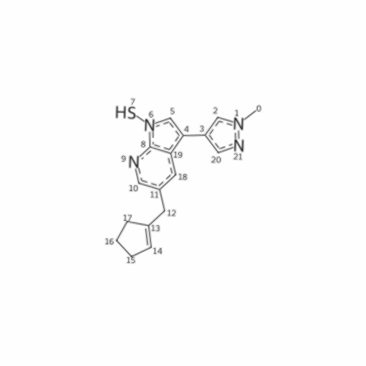 Cn1cc(-c2cn(S)c3ncc(CC4=CCCC4)cc23)cn1